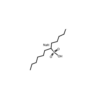 [CH2]CCCCC(CCCCCC)S(=O)(=O)O.[NaH]